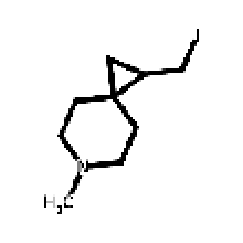 CN1CCC2(CC1)CC2CI